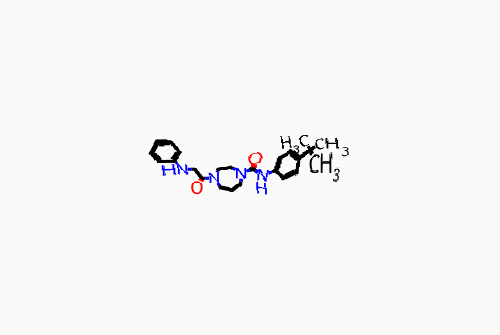 CC(C)(C)c1ccc(NC(=O)N2CCCN(C(=O)CNc3ccccc3)CC2)cc1